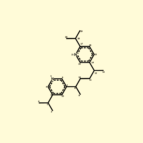 CC(C)c1cncc(C(C)CCC(C)c2ccc(C(C)C)nc2)c1